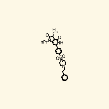 CCCN1C(=O)C(C)c2c1cc(-c1ccc(S(=O)(=O)N3CCN(CCc4ccccc4)CC3)cc1)[nH]c2=O